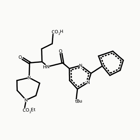 CCOC(=O)N1CCN(C(=O)C(CCC(=O)O)NC(=O)c2cc(C(C)(C)C)nc(-c3ccccc3)n2)CC1